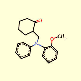 COc1ccccc1N(CC1CCCCC1=O)c1ccccc1